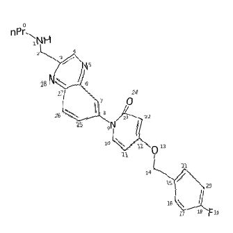 CCCNCc1cnc2cc(-n3ccc(OCc4ccc(F)cc4)cc3=O)ccc2n1